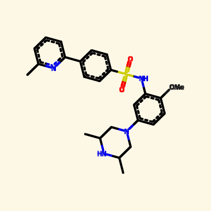 COc1ccc(N2CC(C)NC(C)C2)cc1NS(=O)(=O)c1ccc(-c2cccc(C)n2)cc1